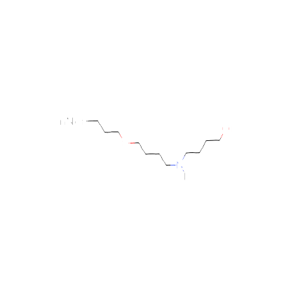 CCCCCCCCCCCCOCCCCN(CC)CCCCO